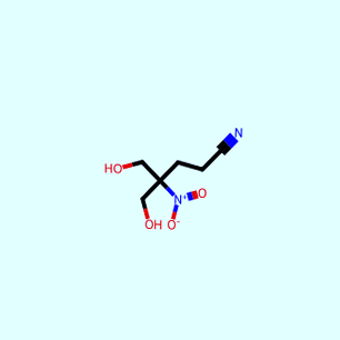 N#CCCC(CO)(CO)[N+](=O)[O-]